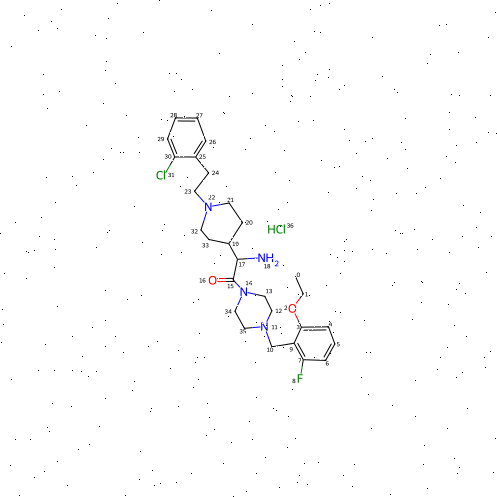 CCOc1cccc(F)c1CN1CCN(C(=O)C(N)C2CCN(CCc3ccccc3Cl)CC2)CC1.Cl